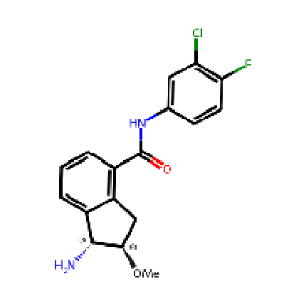 CO[C@@H]1Cc2c(C(=O)Nc3ccc(F)c(Cl)c3)cccc2[C@H]1N